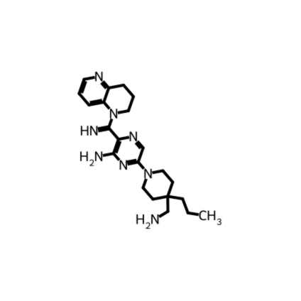 CCCC1(CN)CCN(c2cnc(C(=N)N3CCCc4ncccc43)c(N)n2)CC1